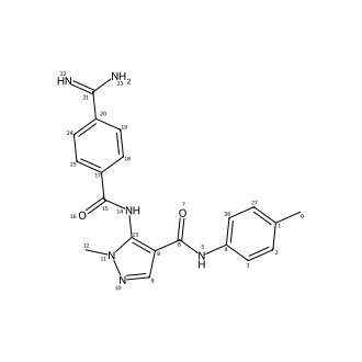 Cc1ccc(NC(=O)c2cnn(C)c2NC(=O)c2ccc(C(=N)N)cc2)cc1